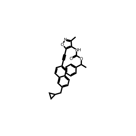 Cc1noc(C#Cc2ccc3cc(CC4CC4)ccc3c2)c1NC(=O)OC(C)c1ccccc1